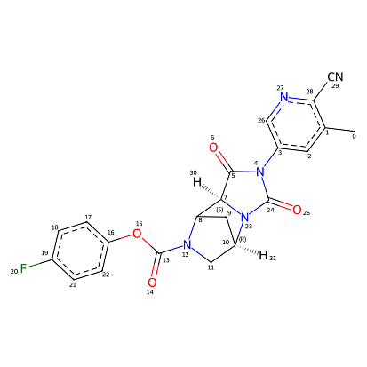 Cc1cc(N2C(=O)[C@@H]3C4C[C@H](CN4C(=O)Oc4ccc(F)cc4)N3C2=O)cnc1C#N